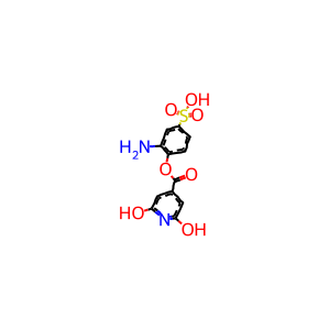 Nc1cc(S(=O)(=O)O)ccc1OC(=O)c1cc(O)nc(O)c1